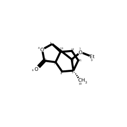 CCOC1C2OC(=O)C3C[C@]1(C)CCC32